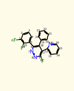 Fc1cccc(-c2nnc(F)c(-c3ccccn3)c2-c2ccccc2)c1F